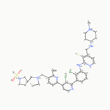 COc1nc(-c2ccnc(-c3cccc(Nc4nccc(CNC5CCN(C(C)=O)CC5)c4F)c3Cl)c2Cl)ccc1CN1CC[C@@]2(CCN(S(C)(=O)=O)C2)C1